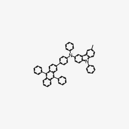 Cc1ccc2c(c1)c1cc(N(c3ccccc3)c3ccc(-c4ccc5c(-c6ccccc6)c6ccccc6c(-c6ccccc6)c5c4)cc3)ccc1n2-c1ccccc1